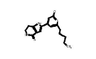 CCCCCc1cc(-c2cc3c([nH]2)CCNC3=O)cc(Cl)n1